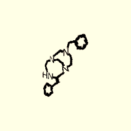 c1ccc(CC2CN3CCCN(Cc4ccccc4)CCN(CCCN2)CC3)cc1